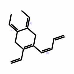 C=C/C=C\C1=C(C=C)CC(=C/C)/C(=C\C)C1